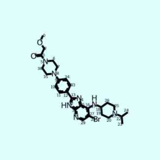 COCC(=O)N1CCN(c2ccc(-c3nc4c(NC5CCN(C(C)C)CC5)c(Br)cnc4[nH]3)cc2)CC1